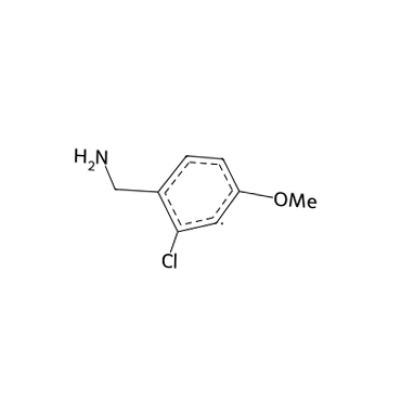 COc1[c]c(Cl)c(CN)cc1